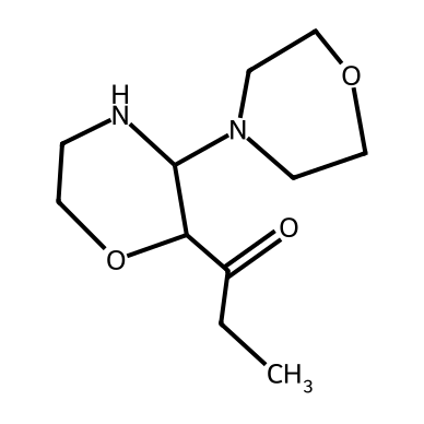 CCC(=O)C1OCCNC1N1CCOCC1